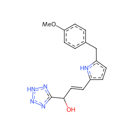 COc1ccc(Cc2ccc(C=CC(O)c3nn[nH]n3)[nH]2)cc1